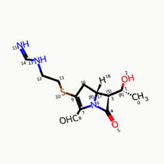 C[C@@H](O)[C@H]1C(=O)N2C(C=O)=C(SCCNC=N)C[C@H]12